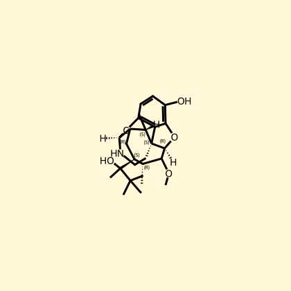 COC1[C@H](C)[C@@H](C(C)(O)C(C)(C)C)CC2[C@H]3Cc4ccc(O)c5c4[C@](CCN3)([C@H]2C)[C@H]1O5